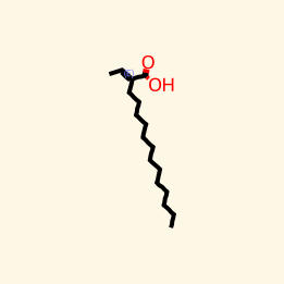 C/C=C(\CCCCCCCCCCCCC)C(=O)O